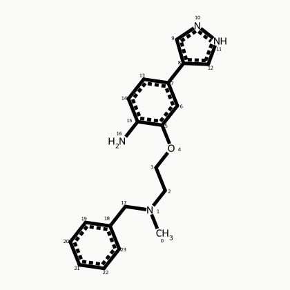 CN(CCOc1cc(-c2cn[nH]c2)ccc1N)Cc1ccccc1